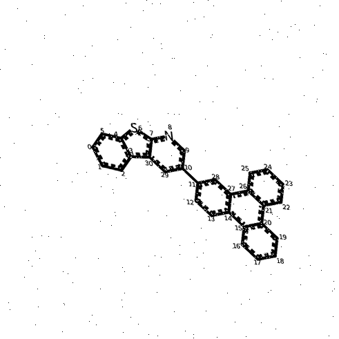 c1ccc2c(c1)sc1ncc(-c3ccc4c5ccccc5c5ccccc5c4c3)cc12